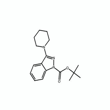 CC(C)(C)OC(=O)n1nc(N2CCCCC2)c2ccccc21